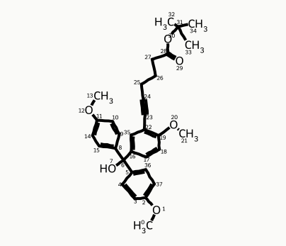 COc1ccc(C(O)(c2ccc(OC)cc2)c2ccc(OC)c(C#CCCCC(=O)OC(C)(C)C)c2)cc1